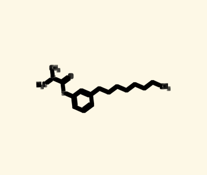 CCCCCCCCc1cccc(SC(=O)N(C)C)c1